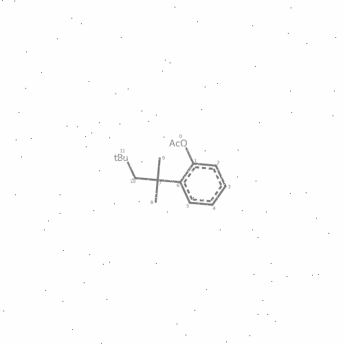 CC(=O)Oc1ccccc1C(C)(C)CC(C)(C)C